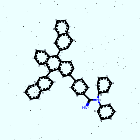 N=C(c1ccc(-c2ccc3c(-c4ccc5ccccc5c4)c4ccccc4c(-c4ccc5ccccc5c4)c3c2)cc1)N(c1ccccc1)c1ccccc1